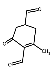 CC1=C(C=O)C(=O)CC(C=O)C1